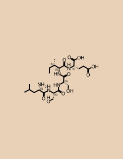 CC[C@H](C)[C@H](NC(=O)[C@H](CO)NC(=O)[C@H](CO)NC(=O)[C@@H](N)CC(C)C)C(=O)N[C@@H](CCC(=O)O)C(=O)O